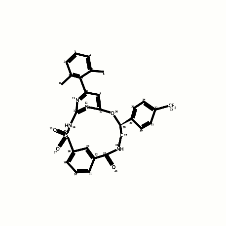 Cc1cccc(C)c1-c1cc2nc(n1)NS(=O)(=O)c1cccc(c1)C(=O)NC[C@H](c1ccc(C(F)(F)F)cc1)O2